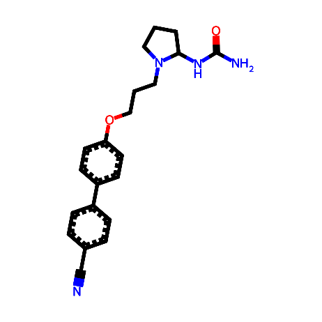 N#Cc1ccc(-c2ccc(OCCCN3CCCC3NC(N)=O)cc2)cc1